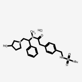 CCCCS(=O)(=O)NCc1ccc(CC(=O)N(C)C(CN2CCC(O)C2)c2ccccc2)cc1.Cl